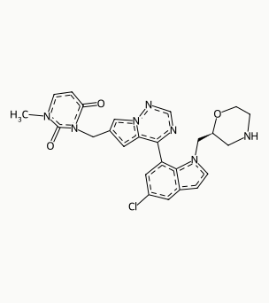 Cn1ccc(=O)n(Cc2cc3c(-c4cc(Cl)cc5ccn(C[C@@H]6CNCCO6)c45)ncnn3c2)c1=O